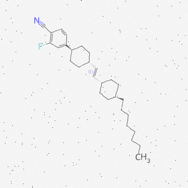 CCCCCCCC[C@H]1CC[C@H](/C=C/[C@H]2CC[C@H](c3ccc(C#N)c(F)c3)CC2)CC1